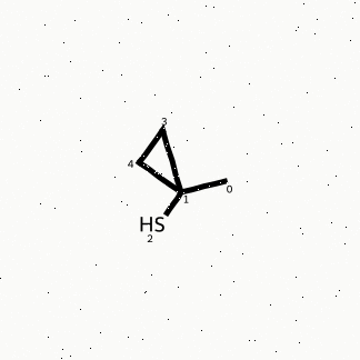 CC1(S)CC1